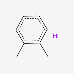 Cc1ccccc1C.I